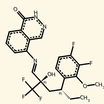 CC[C@H](C[C@@](O)(C=Nc1cccc2c(=O)[nH]ncc12)C(F)(F)F)c1ccc(F)c(F)c1OC